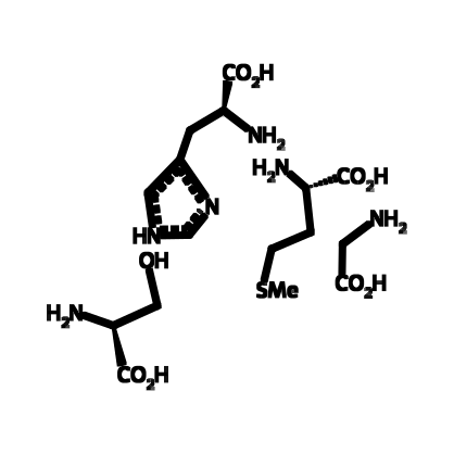 CSCC[C@H](N)C(=O)O.NCC(=O)O.N[C@@H](CO)C(=O)O.N[C@@H](Cc1c[nH]cn1)C(=O)O